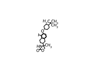 CC(C)(C)C1CCC(Oc2ccc3c(c2I)CCC(C2(C)COC(=O)N2)C3)CC1